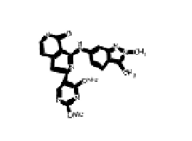 COc1ncc(-c2cc3c(c(Nc4ccc5c(C)n(C)nc5c4)n2)C(=O)[N]C=C3)c(OC)n1